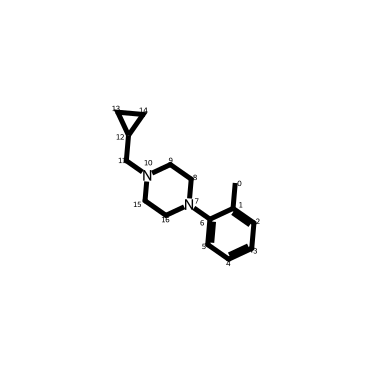 Cc1c[c]ccc1N1CCN(CC2CC2)CC1